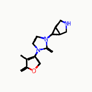 C=C1OCC(N2CCN(C3C4CNCC43)C2=C)=C1C